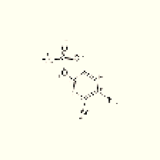 CC(=O)c1cc(OS(=O)(=O)C(F)(F)F)ccc1F